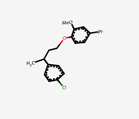 COc1cc(C(C)C)ccc1OCCC(C)c1ccc(Cl)cc1